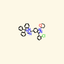 Clc1ccccc1-c1nn(C2CCCCO2)c2ccc(-c3ncn(C(c4ccccc4)(c4ccccc4)c4ccccc4)n3)cc12